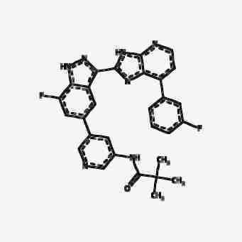 CC(C)(C)C(=O)Nc1cncc(-c2cc(F)c3[nH]nc(-c4nc5c(-c6cccc(F)c6)ccnc5[nH]4)c3c2)c1